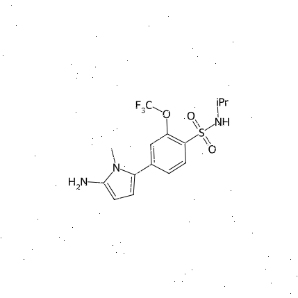 CC(C)NS(=O)(=O)c1ccc(-c2ccc(N)n2C)cc1OC(F)(F)F